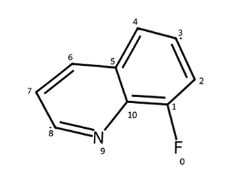 Fc1c[c]cc2cc[c]nc12